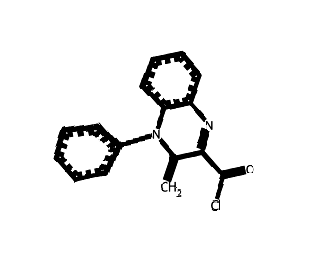 C=C1C(C(=O)Cl)=Nc2ccccc2N1c1ccccc1